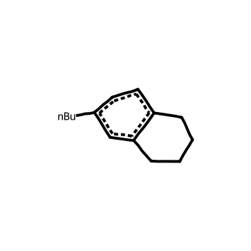 CCCCc1ccc2c(c1)CCCC2